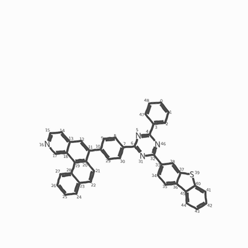 c1ccc(-c2nc(-c3ccc(-c4cc5ccncc5c5c4ccc4ccccc45)cc3)nc(-c3ccc4c(c3)sc3ccccc34)n2)cc1